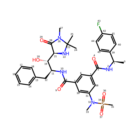 C[C@@H](NC(=O)c1cc(C(=O)N[C@@H](Cc2ccccc2)[C@H](O)[C@@H]2NC(C)(C)N(C)C2=O)cc(N(C)S(C)(=O)=O)c1)c1ccc(F)cc1